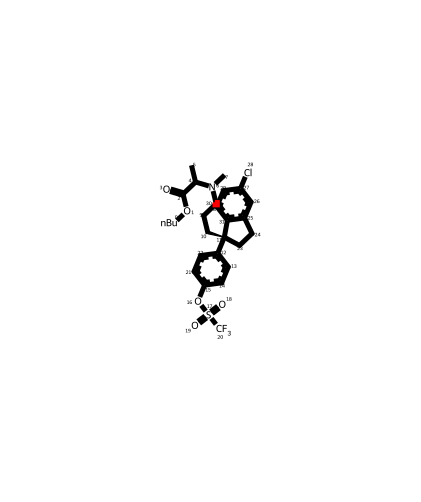 CCCCOC(=O)C(C)N(C)CCC[C@]1(c2ccc(OS(=O)(=O)C(F)(F)F)cc2)CCc2cc(Cl)ccc21